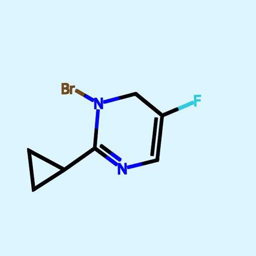 FC1=CN=C(C2CC2)N(Br)C1